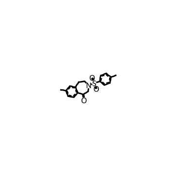 Cc1ccc(S(=O)(=O)N2CCc3cc(C)ccc3C(=O)C2)cc1